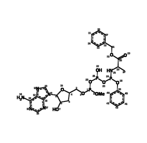 COP(OCC1CC(O)C(n2cnc3c(N)ncnc32)O1)OP(O)OP(NC(C)C(=O)OCc1ccccc1)Oc1ccccc1